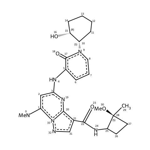 CNc1cc(Nc2cccn([C@H]3CCCC[C@H]3O)c2=O)nc2c(C(=O)NC3CC[C@]3(C)OC)cnn12